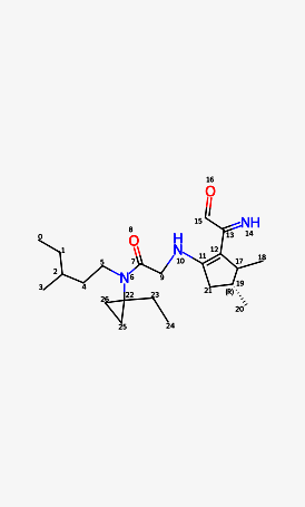 CCC(C)CCN(C(=O)CNC1=C(C(=N)C=O)C(C)[C@H](C)C1)C1(CC)CC1